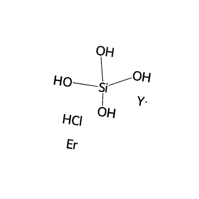 Cl.O[Si](O)(O)O.[Er].[Y]